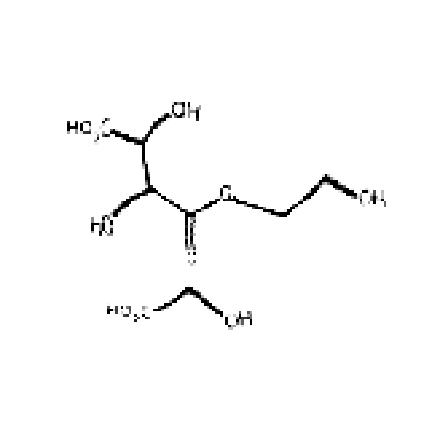 O=C(O)C(O)C(O)C(=O)OCCO.O=C(O)CO